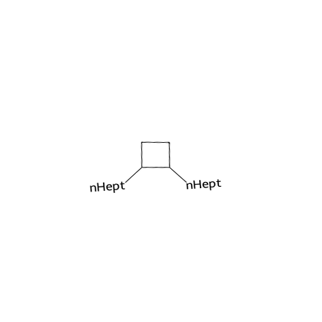 CCCCCCCC1CCC1CCCCCCC